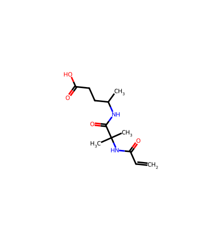 C=CC(=O)NC(C)(C)C(=O)NC(C)CCC(=O)O